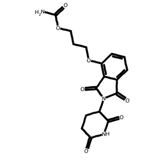 NC(=O)OCCCOc1cccc2c1C(=O)N(C1CCC(=O)NC1=O)C2=O